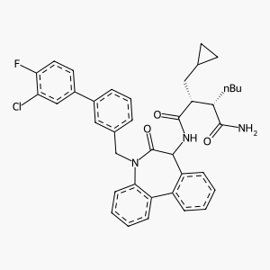 CCCC[C@H](C(N)=O)[C@@H](CC1CC1)C(=O)NC1C(=O)N(Cc2cccc(-c3ccc(F)c(Cl)c3)c2)c2ccccc2-c2ccccc21